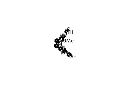 COc1nc(-c2cccc(-c3cccc(-c4ccn5c(=O)c(CNC6CCN(C(C)=O)CC6)cnc5c4)c3Cl)c2Cl)ccc1CNC[C@H]1CCC(=O)N1